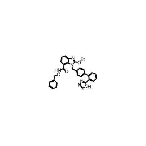 CCOc1nc2cccc(C(=O)NOCc3ccccc3)c2n1Cc1ccc(-c2ccccc2-c2nnn[nH]2)cc1